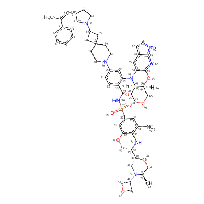 C=C(C)c1ccccc1[C@@H]1CCCN1C1CC2(CCN(c3ccc(C(=O)NS(=O)(=O)c4cc5c(c([N+](=O)[O-])c4)N[C@H]([C@H]4CN(C6COC6)[C@H](C)CO4)CO5)c(N4c5cc6cc[nH]c6nc5O[C@H]5COCC[C@H]54)c3)CC2)C1